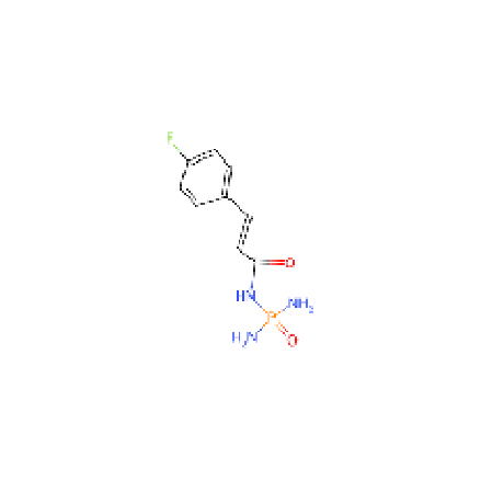 NP(N)(=O)NC(=O)C=Cc1ccc(F)cc1